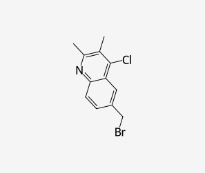 Cc1nc2ccc(CBr)cc2c(Cl)c1C